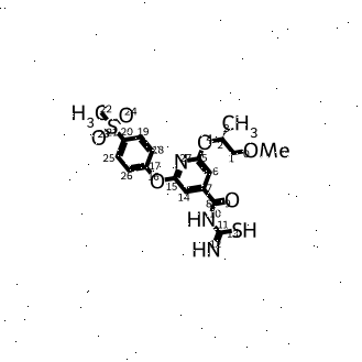 COC[C@@H](C)Oc1cc(C(=O)NC(=N)S)cc(Oc2ccc(S(C)(=O)=O)cc2)n1